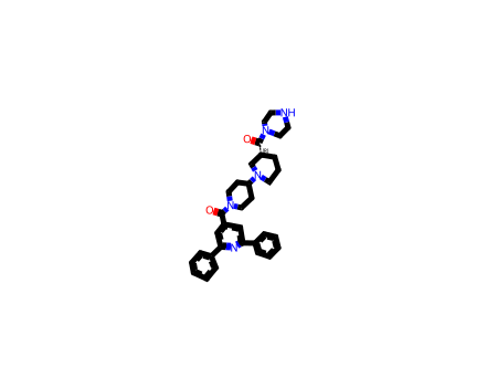 O=C(c1cc(-c2ccccc2)nc(-c2ccccc2)c1)N1CCC(N2CCC[C@@H](C(=O)N3CCNCC3)C2)CC1